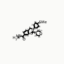 CSc1ccc(N(Cc2ccc(C(=O)NN)cc2)C(=O)N2CCOCC2)cc1